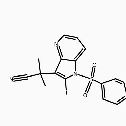 CC(C)(C#N)c1c(I)n(S(=O)(=O)c2ccccc2)c2cccnc12